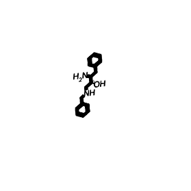 NC(Cc1ccccc1)[C@H](O)CNCc1ccccc1